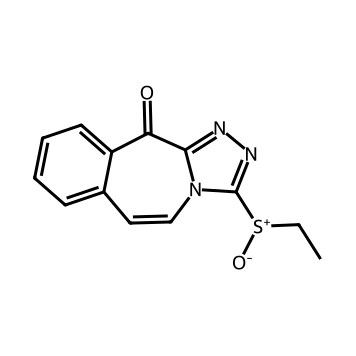 CC[S+]([O-])c1nnc2c(=O)c3ccccc3ccn12